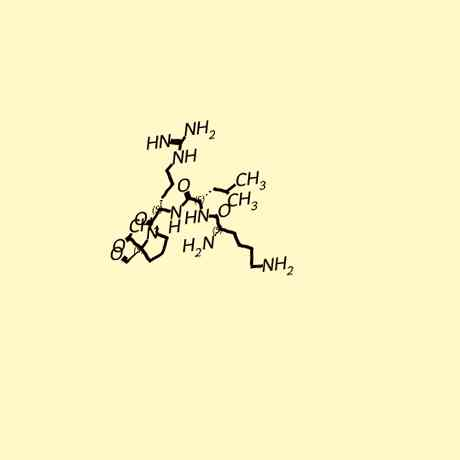 CC(=O)[C@@]1(C=O)CCCN1C(=O)[C@H](CCCNC(=N)N)NC(=O)[C@H](CC(C)C)NC(=O)[C@@H](N)CCCCN